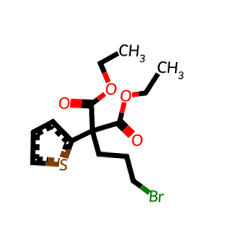 CCOC(=O)C(CCCBr)(C(=O)OCC)c1cccs1